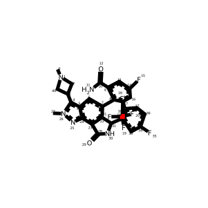 CN1CC(c2c3cc(-c4c(C(N)=O)cc(F)cc4C(F)(F)F)c4c(c3nn2C)C(=O)NC4c2cc(F)ccc2Cl)C1